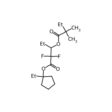 CCC(OC(=O)C(C)(C)CC)C(F)(F)C(=O)OC1(CC)CCCC1